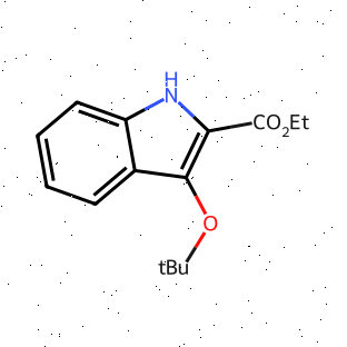 CCOC(=O)c1[nH]c2ccccc2c1OC(C)(C)C